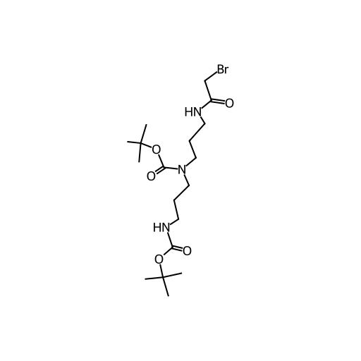 CC(C)(C)OC(=O)NCCCN(CCCNC(=O)CBr)C(=O)OC(C)(C)C